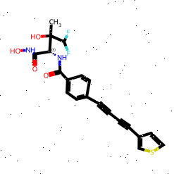 CC(O)(C(F)F)[C@H](NC(=O)c1ccc(C#CC#Cc2ccsc2)cc1)C(=O)NO